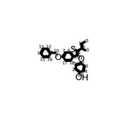 C/C=C(\C)c1sc2cc(OCc3ccccc3)ccc2c1Oc1ccc(O)cc1